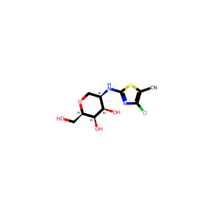 N#Cc1sc(N[C@@H]2CO[C@H](CO)[C@H](O)[C@@H]2O)nc1Cl